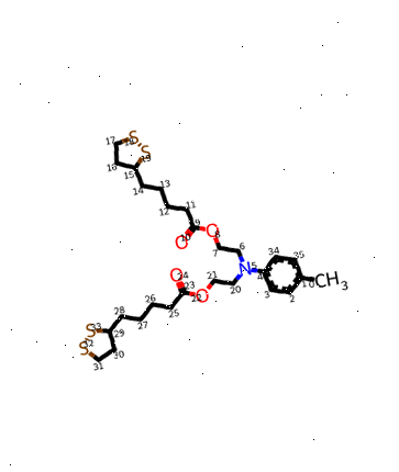 Cc1ccc(N(CCOC(=O)CCCCC2CCSS2)CCOC(=O)CCCCC2CCSS2)cc1